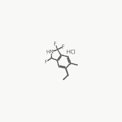 CCc1cc2c(cc1C)C(F)(F)NC2F.Cl